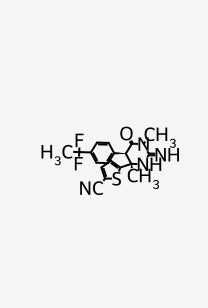 CN1C(=N)N[C@](C)(c2ccc(C#N)s2)[C@@H](c2ccc(C(C)(F)F)cc2)C1=O